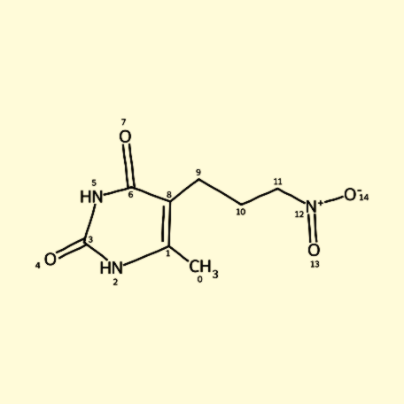 Cc1[nH]c(=O)[nH]c(=O)c1CCC[N+](=O)[O-]